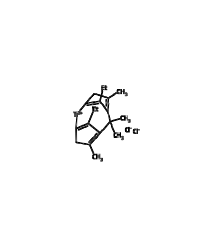 CCC1=[C]2CC(C)=C1C(C)(C)C1=C(C)C[C](=C1CC)[Ti+2]2.[Cl-].[Cl-]